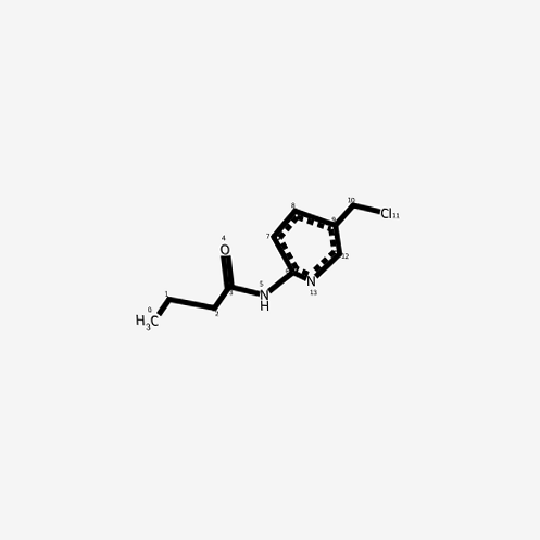 CCCC(=O)Nc1ccc(CCl)cn1